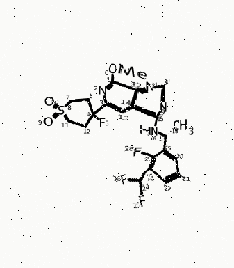 COc1nc(C2(F)CCS(=O)(=O)CC2)cc2c(N[C@H](C)c3cccc(C(F)F)c3F)ncnc12